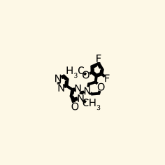 COc1cc(F)cc(F)c1C1CN(c2nc(-c3ccncn3)cc(=O)n2C)CCO1